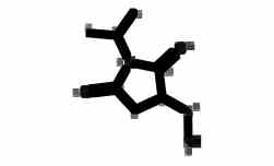 CC(C)N1C(=O)CC(SS)C1=O